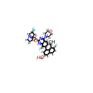 C#Cc1c(F)ccc2cc(O)cc(-c3ccc4c(N5CCOCC5)nc(OC[C@@]56CCCN5C[C@H](F)C6)nc4c3F)c12